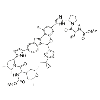 COC(=O)NC(C(=O)N1[C@H](C)[C@H](C)C[C@H]1c1ncc(-c2ccc3c(c2)cc2n3C(c3cnc(C4(C)CC4)s3)Oc3cc(-c4cnc([C@@H]5CCCN5C(=O)[C@@H](NC(=O)OC)C(C)C)[nH]4)cc(F)c3-2)[nH]1)C1C[C@@H](C)O[C@@H](C)C1